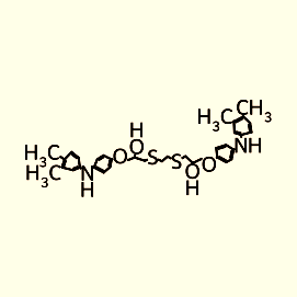 Cc1ccc(Nc2ccc(OCC(O)CSCCSCC(O)COc3ccc(Nc4ccc(C)c(C)c4)cc3)cc2)cc1C